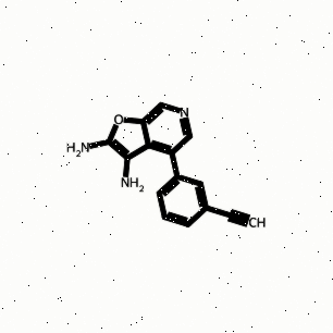 C#Cc1cccc(-c2cncc3oc(N)c(N)c23)c1